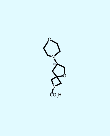 O=C(O)N1CC2(C[C@@H](N3CCOCC3)CO2)C1